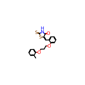 Cc1ccccc1OCCCOc1ccccc1C=C1SC(=S)NC1=O